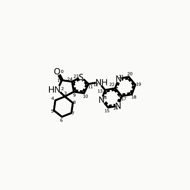 O=C1NC2(CCCCC2)c2cc(Nc3ncnc4cccnc34)sc21